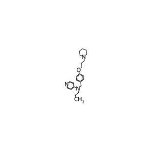 CCCN(Cc1ccc(OCCCN2CCCCC2)cc1)c1ccncc1